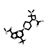 CNC(=O)c1csc2c(C(F)(F)F)cc(N3CCC(C4N(C(=O)O)CC4(C)N(C)C)CC3)nc12